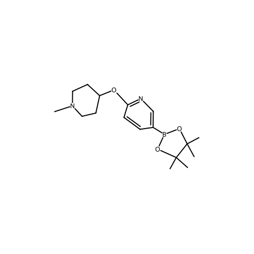 CN1CCC(Oc2ccc(B3OC(C)(C)C(C)(C)O3)cn2)CC1